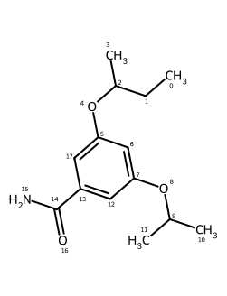 CCC(C)Oc1cc(OC(C)C)cc(C(N)=O)c1